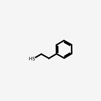 SC[CH]c1ccccc1